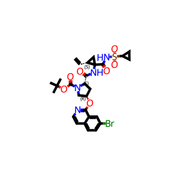 C=C[C@@H]1CC1(NC(=O)[C@@H]1C[C@@H](Oc2nccc3ccc(Br)cc23)CN1C(=O)OC(C)(C)C)C(=O)NS(=O)(=O)C1CC1